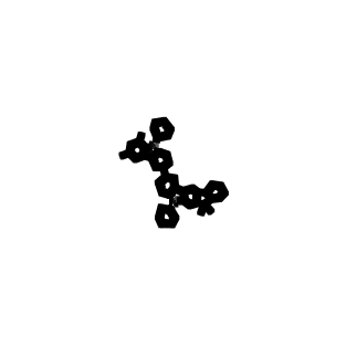 Cc1cc(C)c2c(c1)c1cc(-c3ccc4c(c3)c3cc5c(cc3n4-c3ccccc3)C(C)(C)c3ccccc3-5)ccc1n2-c1ccccc1